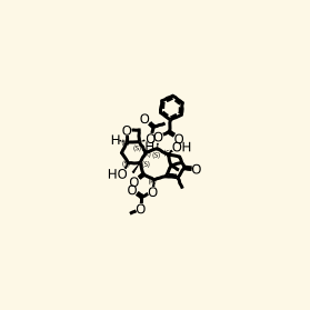 COC(=O)O[C@H]1C(=O)[C@@]2(C)[C@H]([C@H](OC(=O)c3ccccc3)[C@]3(O)CC(=O)C(C)=C1C3(C)C)[C@]1(OC(C)=O)CO[C@@H]1C[C@@H]2O